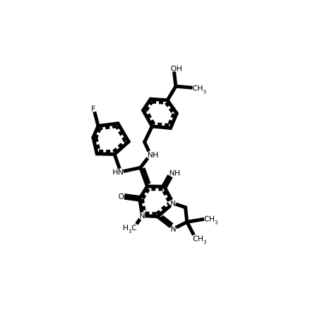 CC(O)c1ccc(CN/C(Nc2ccc(F)cc2)=c2/c(=O)n(C)c3n(c2=N)CC(C)(C)N=3)cc1